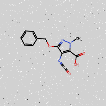 Cn1nc(OCc2ccccc2)c(N=C=O)c1C(=O)O